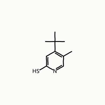 Cc1cnc(S)cc1C(C)(C)C